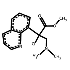 COC(=O)C(Cl)(CN(C)C)c1cccc2cccnc12